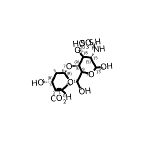 O=C(O)C1=C[C@H](O)C[C@H](O[C@@H]2C(CO)OC(O)[C@@H](NS(=O)(=O)O)C2OS(=O)(=O)O)O1